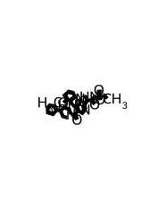 CCS(=O)(=O)NC(=O)c1cnn2c(Nc3ccccc3OC)c(C(=O)N3CCC(c4ccccc4)CC3)cnc12